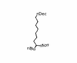 [CH2]CCCC(CCCCCCCCC)CCCCCCCCCCCCCCCCC